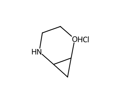 C1COC2CC2N1.Cl